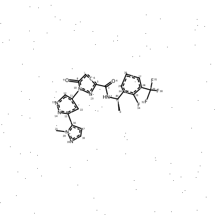 C[C@@H](NC(=O)c1ccc(=O)n(-c2cnnc(-c3ccnn3C)c2)n1)c1cccc(C(F)(F)F)c1F